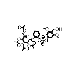 COc1cc(OS(=O)(=O)Oc2ccccc2OC2O[C@H](COC(C)=O)[C@H](OC(C)=O)[C@H](OC(C)=O)C2OC(C)=O)cc(OC)c1CO